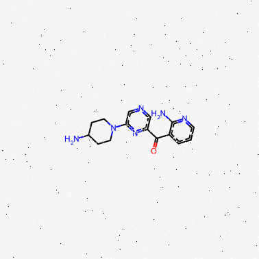 Nc1ncccc1C(=O)c1cncc(N2CCC(N)CC2)n1